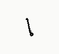 CC(C)=CCCCCCCCCCOCc1ccccc1